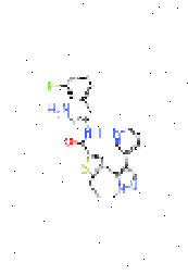 NC[C@H](Cc1cccc(F)c1)NC(=O)c1cc2c(s1)CCCn1ncc(-c3cccnc3)c1-2